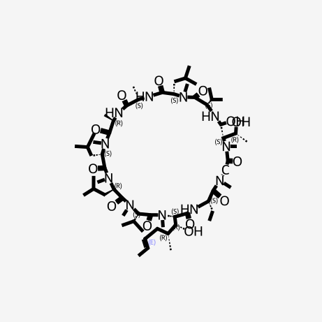 C/C=C/C[C@@H](C)[C@@H](O)[C@H]1C(=O)N[C@@H](CC)C(=O)N(C)CC(=O)N(C)[C@@H]([C@@H](C)O)C(O)N[C@@H](C(C)C)C(=O)N(C)[C@@H](CC(C)C)C(=O)N[C@@H](C)C(=O)N[C@H](C)C(=O)N(C)[C@@H](CC(C)C)C(=O)N(C)[C@H](CC(C)C)C(=O)N(C)[C@@H](C(C)C)C(=O)N1C